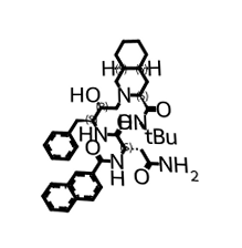 CC(C)(C)NC(=O)[C@@H]1C[C@@H]2CCCC[C@@H]2CN1C[C@@H](O)[C@H](Cc1ccccc1)NC(=O)[C@H](CC(N)=O)NC(=O)c1ccc2ccccc2c1